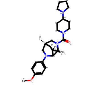 CCOc1ccc(N2C[C@H]3CN(C(=O)N4CCC(N5CCCC5)CC4)CC2C(C)(C)C3)cc1